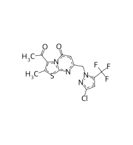 CC(=O)c1c(C)sc2nc(Cn3nc(Cl)cc3C(F)(F)F)cc(=O)n12